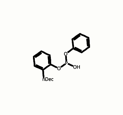 CCCCCCCCCCc1ccccc1OP(O)Oc1ccccc1